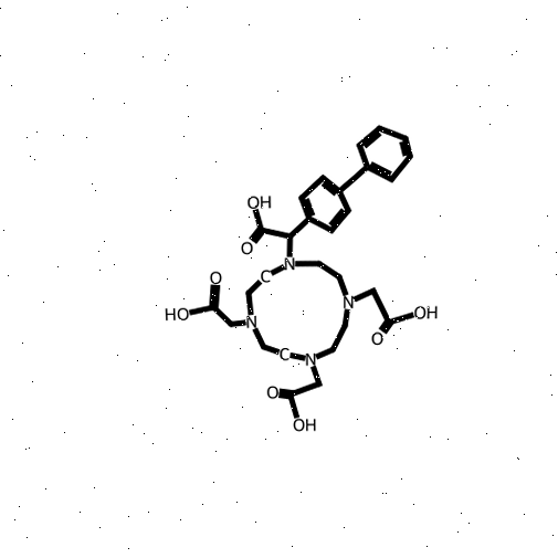 O=C(O)CN1CCN(CC(=O)O)CCN(C(C(=O)O)c2ccc(-c3ccccc3)cc2)CCN(CC(=O)O)CC1